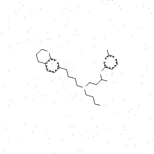 COC[C@@H](F)CN(CCCCc1ccc2c(n1)NCCC2)CCC(Nc1ccnc(C(F)(F)F)n1)C(=O)O